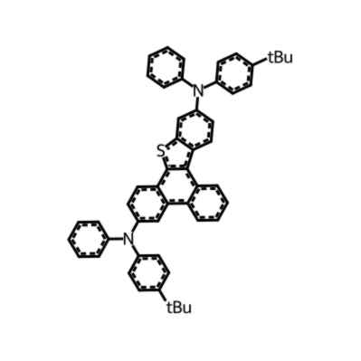 CC(C)(C)c1ccc(N(c2ccccc2)c2ccc3c(c2)sc2c4ccc(N(c5ccccc5)c5ccc(C(C)(C)C)cc5)cc4c4ccccc4c32)cc1